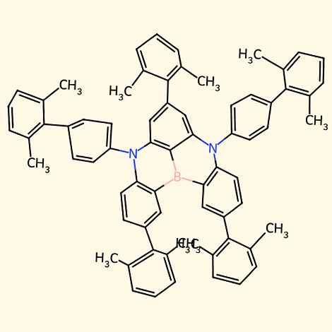 Cc1cccc(C)c1-c1ccc(N2c3ccc(-c4c(C)cccc4C)cc3B3c4cc(-c5c(C)cccc5C)ccc4N(c4ccc(-c5c(C)cccc5C)cc4)c4cc(-c5c(C)cccc5C)cc2c43)cc1